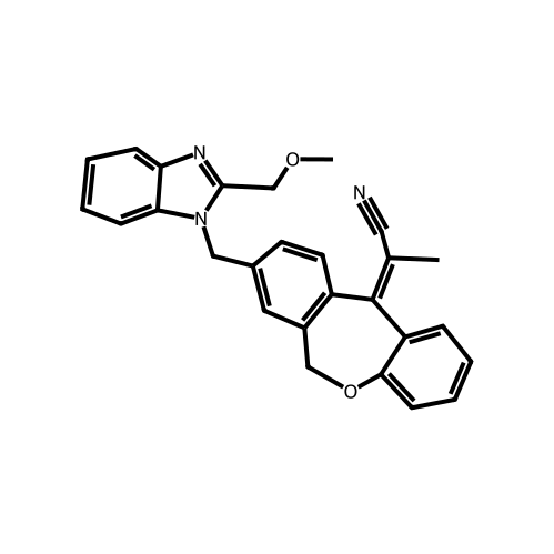 COCc1nc2ccccc2n1Cc1ccc2c(c1)COc1ccccc1C2=C(C)C#N